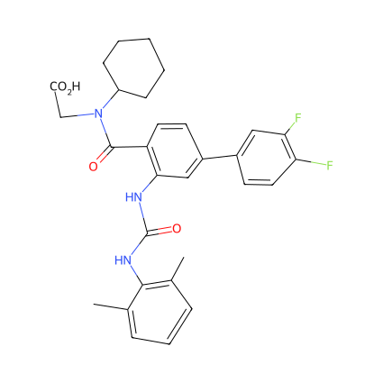 Cc1cccc(C)c1NC(=O)Nc1cc(-c2ccc(F)c(F)c2)ccc1C(=O)N(CC(=O)O)C1CCCCC1